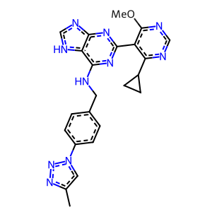 COc1ncnc(C2CC2)c1-c1nc(NCc2ccc(-n3cc(C)nn3)cc2)c2[nH]cnc2n1